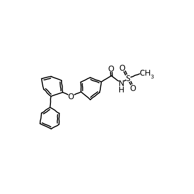 CS(=O)(=O)NC(=O)c1ccc(Oc2ccccc2-c2ccccc2)cc1